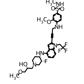 CNS(=O)(=O)c1ccc(NCC#Cc2cc3c(N[C@H]4CCN(C[C@@H](O)COC)C[C@H]4F)cccc3n2CC(F)(F)F)c(OC)c1